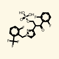 O=C(c1c(F)cccc1F)C(COP(=O)(O)O)c1ccn(Cc2c(F)cccc2C(F)(F)F)n1